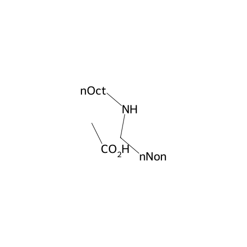 CC(=O)O.CCCCCCCCCCNCCCCCCCC